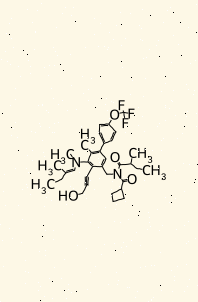 CC/C(C)=C/N(C)c1c(C)c(-c2ccc(OC(F)(F)F)cc2)cc(CN(C(=O)C(C)CC)C(=O)C2CCC2)c1C#CCO